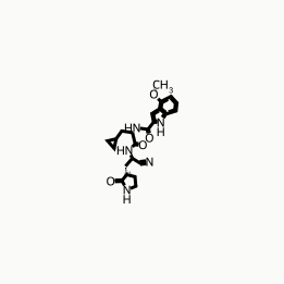 COc1cccc2[nH]c(C(=O)NC(CC3CC3)C(=O)NC(C#N)C[C@@H]3CCNC3=O)cc12